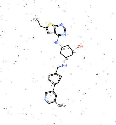 COc1cncc(-c2ccc(CN[C@H]3C[C@@H](O)C[C@@H](Nc4ncnc5sc(CC(F)(F)F)cc45)C3)cc2)c1